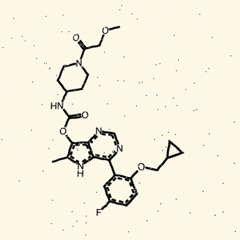 COCC(=O)N1CCC(NC(=O)Oc2c(C)[nH]c3c(-c4cc(F)ccc4OCC4CC4)ncnc23)CC1